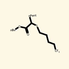 CCCCCC(SCCCCC(F)(F)F)C(=O)OCCCC